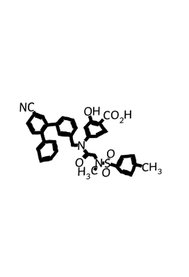 Cc1ccc(S(=O)(=O)N(C)CC(=O)N(Cc2cccc(-c3cc(C#N)ccc3-c3ccccc3)c2)c2ccc(C(=O)O)c(O)c2)cc1